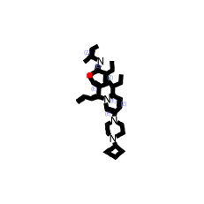 C=CC=C(/N=C(/C=C\C(=C/C)N1CCN(C2CCC2)CC1)C(C)CC)C(/C=C(CC)\C(C)=N\C(C)=C/C)=C/C